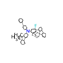 CC1(C)c2ccccc2-c2ccc(N(c3ccc(-c4ccccc4)cc3)c3ccc(-c4cccc5c4C4(c6ccccc6-5)C5CC6CC(C5)CC4C6)c(F)c3)cc21